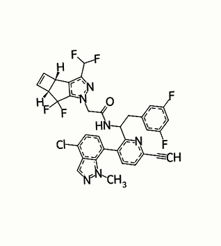 C#Cc1ccc(-c2ccc(Cl)c3cnn(C)c23)c(C(Cc2cc(F)cc(F)c2)NC(=O)Cn2nc(C(F)F)c3c2C(F)(F)[C@@H]2C=C[C@H]32)n1